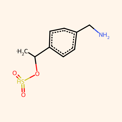 [CH2]C(O[SH](=O)=O)c1ccc(CN)cc1